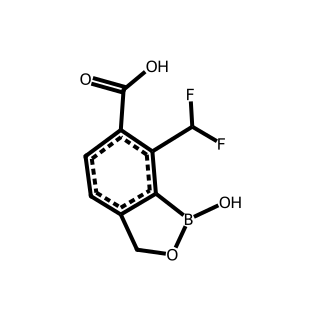 O=C(O)c1ccc2c(c1C(F)F)B(O)OC2